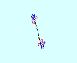 O=C(CCSCCCCCCCCCCSCCC(=O)CNC(=O)c1cncc[n+]1[O-])CNC(=O)c1cncc[n+]1[O-]